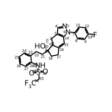 C[C@]12Cc3cnn(-c4ccc(F)cc4)c3C=C1CC[C@@]2(O)CCc1ccccc1NS(=O)(=O)CC(F)(F)F